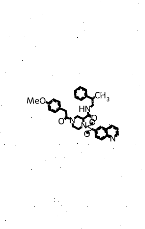 COc1ccc(CC(=O)N2CCN(S(=O)(=O)c3ccc4ncccc4c3)C(C(=O)NCC(C)c3ccccc3)C2)cc1